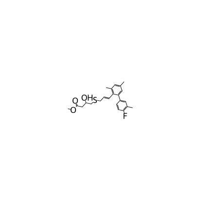 COC(=O)CC(O)CSC/C=C/c1c(C)cc(C)cc1-c1ccc(F)c(C)c1